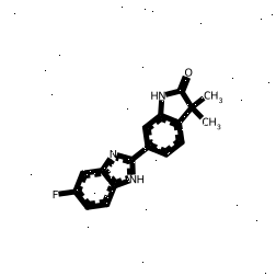 CC1(C)C(=O)Nc2cc(-c3nc4cc(F)ccc4[nH]3)ccc21